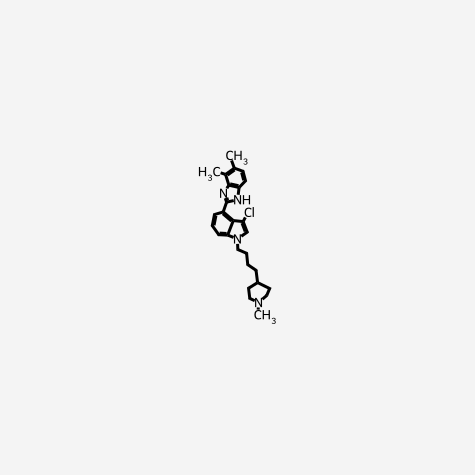 Cc1ccc2[nH]c(-c3cccc4c3c(Cl)cn4CCCCC3CCN(C)CC3)nc2c1C